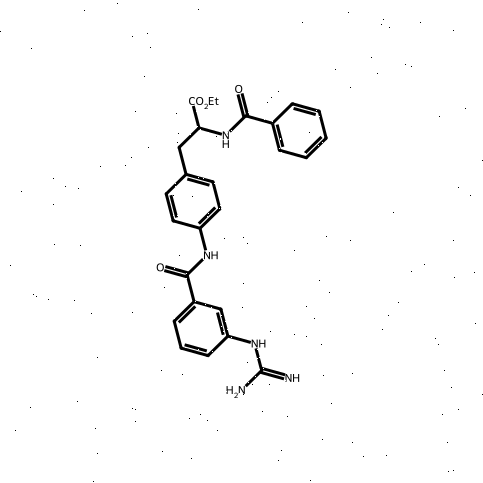 CCOC(=O)C(Cc1ccc(NC(=O)c2cccc(NC(=N)N)c2)cc1)NC(=O)c1ccccc1